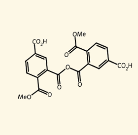 COC(=O)c1ccc(C(=O)O)cc1C(=O)OC(=O)c1cc(C(=O)O)ccc1C(=O)OC